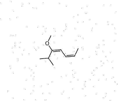 C/C=C\C=C(\OC)C(C)C